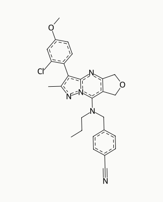 CCCN(Cc1ccc(C#N)cc1)c1c2c(nc3c(-c4ccc(OC)cc4Cl)c(C)nn13)COC2